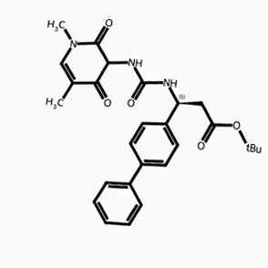 CC1=CN(C)C(=O)C(NC(=O)N[C@@H](CC(=O)OC(C)(C)C)c2ccc(-c3ccccc3)cc2)C1=O